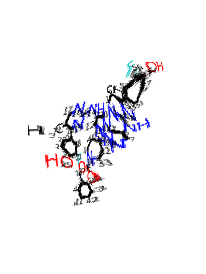 Cc1cnc(Nc2cnn(C3(n4cc(Nc5ncc(C)c(-c6ccc(O)c(F)c6)n5)cn4)CCN(C(=O)OCc4ccccc4)CC3)c2)nc1-c1ccc(O)c(F)c1